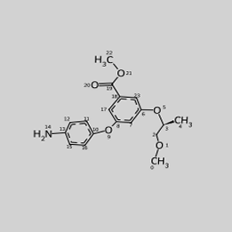 COC[C@H](C)Oc1cc(Oc2ccc(N)cc2)cc(C(=O)OC)c1